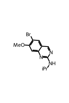 COc1cc2nc(NC(C)C)ncc2cc1Br